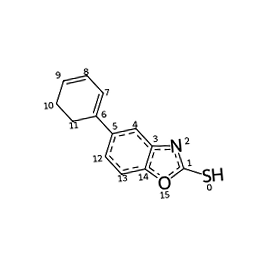 Sc1nc2cc(C3=CC=CCC3)ccc2o1